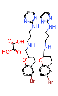 Brc1ccc2c(c1)CCC(CNCCCNc1ncccn1)O2.Brc1ccc2c(c1)CCC(CNCCCNc1ncccn1)O2.O=C(O)C(=O)O